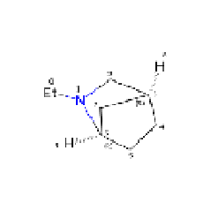 CCN1C[C@H]2CC[C@@H]1C2